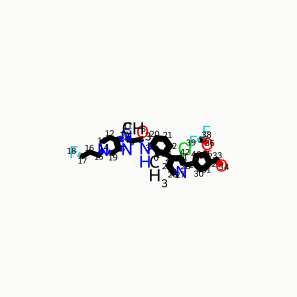 Cc1c(NC(=O)c2nc3c(n2C)CCN(CCCF)C3)cccc1-c1ccnc(-c2ccc(C=O)c(OC(F)F)c2)c1Cl